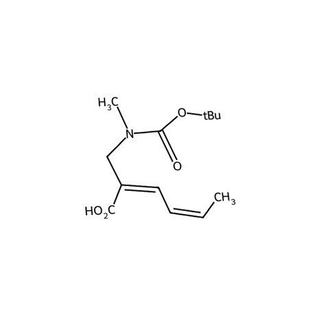 C/C=C\C=C(\CN(C)C(=O)OC(C)(C)C)C(=O)O